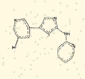 CC(=O)c1cncc(-c2cnc(Nc3ccccn3)s2)c1